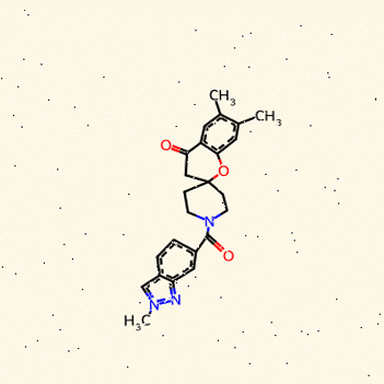 Cc1cc2c(cc1C)C(=O)CC1(CCN(C(=O)c3ccc4cn(C)nc4c3)CC1)O2